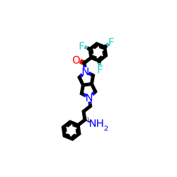 N[C@@H](CCN1CC2CN(C(=O)c3c(F)cc(F)cc3F)CC2C1)c1ccccc1